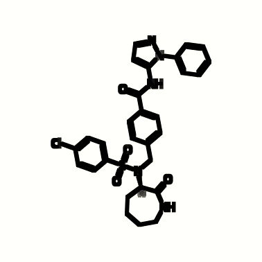 O=C(Nc1ccnn1-c1ccccc1)c1ccc(CN([C@@H]2CCCCNC2=O)S(=O)(=O)c2ccc(Cl)cc2)cc1